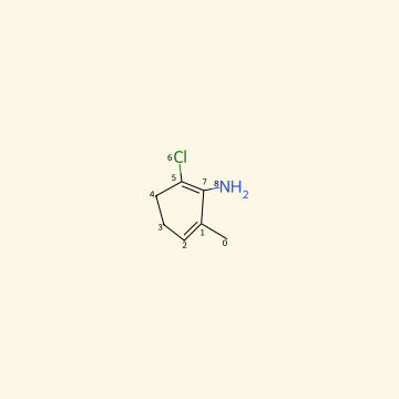 CC1=CCCC(Cl)=C1N